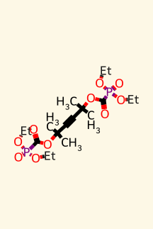 CCOP(=O)(OCC)C(=O)OC(C)(C)C#CC(C)(C)OC(=O)P(=O)(OCC)OCC